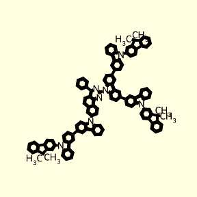 CC1(C)c2ccccc2-c2ccc(-n3c4ccccc4c4cc(-c5ccc6c(c5)c5ccccc5n6-c5ccc6c(ccc7c(-c8ccccc8)nc(-n8c9ccc(-c%10ccc%11c(c%10)c%10ccccc%10n%11-c%10ccc%11c(c%10)C(C)(C)c%10ccccc%10-%11)cc9c9cc(-c%10ccc%11c(c%10)c%10ccccc%10n%11-c%10ccc%11c(c%10)C(C)(C)c%10ccccc%10-%11)ccc98)nc76)c5)ccc43)cc21